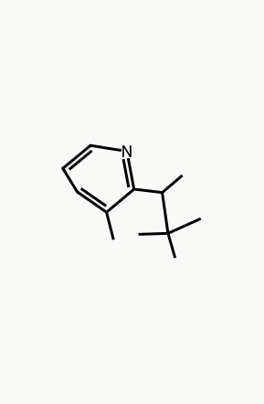 Cc1cccnc1C(C)C(C)(C)C